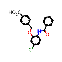 O=C(O)c1ccc(COc2cc(Cl)ccc2NC(=O)c2ccccc2)cc1